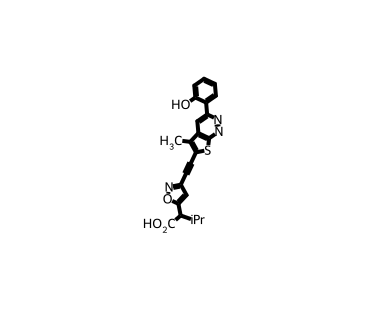 Cc1c(C#Cc2cc(C(C(=O)O)C(C)C)on2)sc2nnc(-c3ccccc3O)cc12